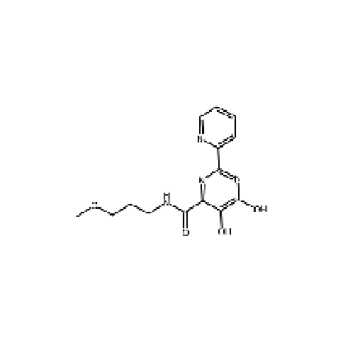 COCCCNC(=O)c1nc(-c2ccccn2)nc(O)c1O